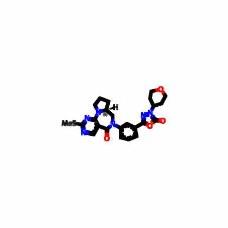 CSc1ncc2c(n1)N1CCC[C@H]1CN(c1cccc(-c3nn(C4CCOCC4)c(=O)o3)c1)C2=O